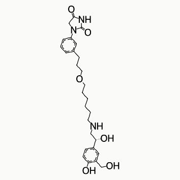 O=C1CN(c2cccc(CCCOCCCCCCNC[C@H](O)c3ccc(O)c(CO)c3)c2)C(=O)N1